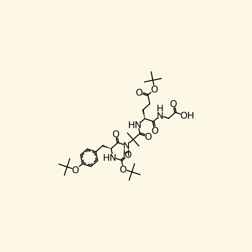 CC(C)(C)OC(=O)CC[C@H](NC(=O)C(C)(C)NC(=O)[C@H](Cc1ccc(OC(C)(C)C)cc1)NC(=O)OC(C)(C)C)C(=O)NCC(=O)O